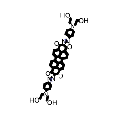 O=C1c2ccc3c4ccc5c6c(ccc(c7ccc(c2c37)C(=O)C1/N=N/c1ccc(N(CCO)CCO)cc1)c64)C(=O)C(/N=N/c1ccc(N(CCO)CCO)cc1)C5=O